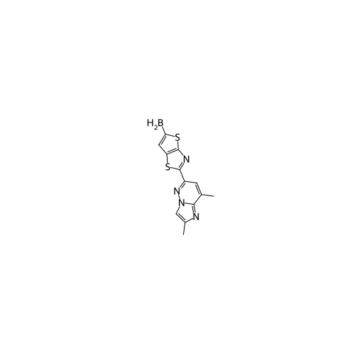 Bc1cc2sc(-c3cc(C)c4nc(C)cn4n3)nc2s1